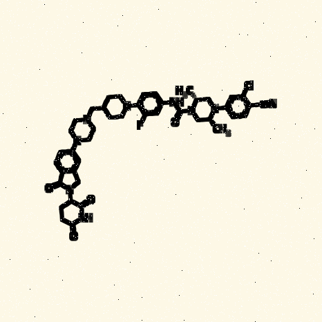 C[C@@H]1CN(c2ccc(C#N)c(Cl)c2)[C@@H](C)CN1C(=O)Nc1ccc(N2CCC(CN3CCN(c4ccc5c(c4)CN(C4CCC(=O)NC4=O)C5=O)CC3)CC2)c(F)c1